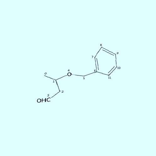 CC(CC=O)OCc1ccccc1